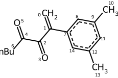 C=C(C(=O)C(=O)CCCC)c1cc(C)cc(C)c1